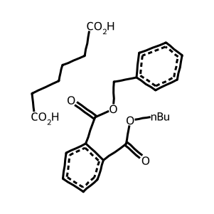 CCCCOC(=O)c1ccccc1C(=O)OCc1ccccc1.O=C(O)CCCCC(=O)O